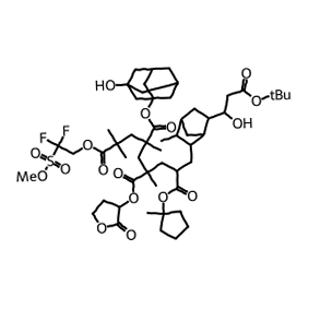 COS(=O)(=O)C(F)(F)COC(=O)C(C)(C)CC(C)(CC(C)(CC(CC1C(C)C2CC(C(O)CC(=O)OC(C)(C)C)C1C2)C(=O)OC1(C)CCCC1)C(=O)OC1CCOC1=O)C(=O)OC12CC3CC(CC(O)(C3)C1)C2